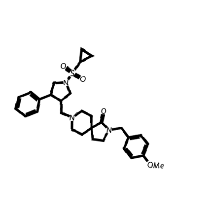 COc1ccc(CN2CCC3(CCN(CC4CN(S(=O)(=O)C5CC5)CC4c4ccccc4)CC3)C2=O)cc1